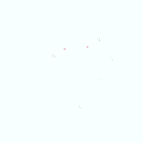 Cc1ncccc1Oc1ncnc(OC2CC3COCC(C2)N3C(=O)OC(C)C)c1C